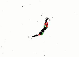 CCCCCCCCOc1ccc(-c2ccc(-c3ccc(C(F)(F)OC4COC(CCCCC)OC4)c(F)c3)cc2)c(F)c1F